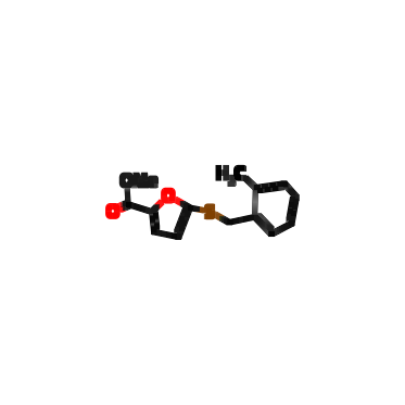 COC(=O)c1ccc(SCc2ccccc2C)o1